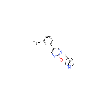 Cc1cccc(-c2cnc(O[C@H]3CN4CCC3CC4)nc2)c1